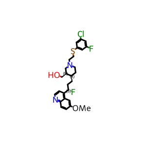 COc1ccc2nccc([C@@H](F)CC[C@@H]3CCN(CCSc4cc(F)cc(Cl)c4)C[C@@H]3CO)c2c1